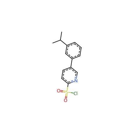 CC(C)c1cccc(-c2ccc(S(=O)(=O)Cl)nc2)c1